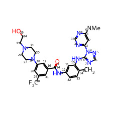 CNc1cc(-n2ncnc2Nc2cc(NC(=O)c3cc(N4CCN(CCO)CC4)cc(C(F)(F)F)c3)ccc2C)ncn1